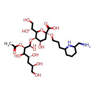 CC(=O)O[C@H](C(O)[C@H](O)C[C@@H](O)CO)[C@H](O)O[C@H]1C([C@H](O)CO)O[C@@](OCCCC2CCCC(CN)N2)(C(=O)O)C[C@H]1O